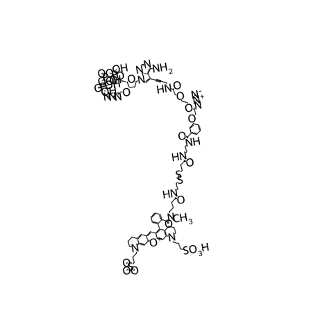 CN(CCCC(=O)NCCSSCCC(=O)NCCNC(=O)c1cccc(OCC(N=[N+]=[N-])OCCOCC(=O)NCC#Cc2cn([C@H]3CC(OCN=[N+]=[N-])[C@@H](COP(=O)(O)OP(=O)(O)OP(=O)(O)O)O3)c3ncnc(N)c23)c1)C(=O)c1ccccc1-c1c2c(cc3[o+]c4cc5c(cc4cc13)CCCN5CCCS(=O)(=O)[O-])N(CCCS(=O)(=O)O)CCC2